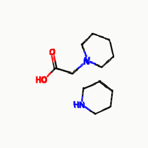 C1CCNCC1.O=C(O)CN1CCCCC1